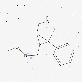 CO/N=C\C1C2CNCC12c1ccccc1